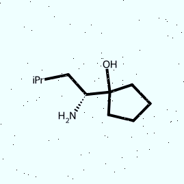 CC(C)C[C@@H](N)C1(O)CCCC1